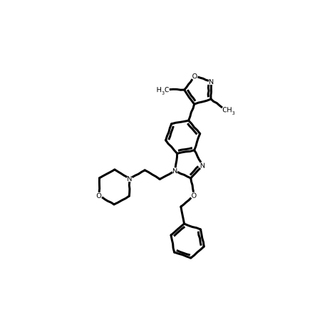 Cc1noc(C)c1-c1ccc2c(c1)nc(OCc1ccccc1)n2CCN1CCOCC1